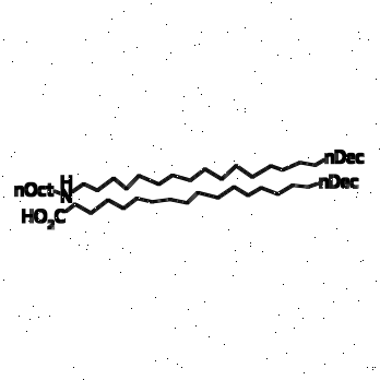 CCCCCCCCCCCCCCCCCCCCCCCCCCC(=O)O.CCCCCCCCCCCCCCCCCCCCCCCCCCNCCCCCCCC